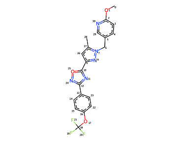 COc1ccc(Cn2nc(-c3nc(-c4ccc(OC(F)(F)F)cc4)no3)cc2C)cn1